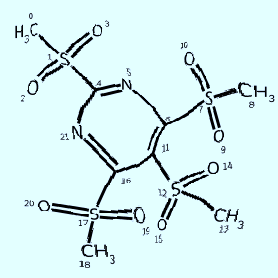 CS(=O)(=O)c1nc(S(C)(=O)=O)c(S(C)(=O)=O)c(S(C)(=O)=O)n1